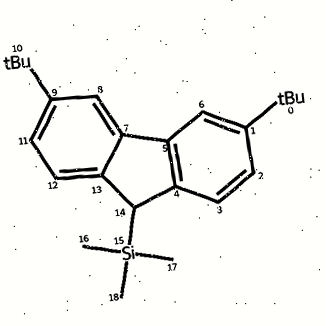 CC(C)(C)c1ccc2c(c1)-c1cc(C(C)(C)C)ccc1C2[Si](C)(C)C